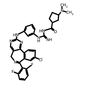 CN(C)C1CCC(C(=O)NC(=N)Nc2cccc(Nc3ncc4c(n3)-c3ccc(Cl)cc3C(c3c(F)cccc3F)=NC4)c2)C1